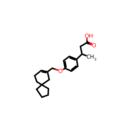 CC(CC(=O)O)c1ccc(OCC2=CCCC3(CCCC3)C2)cc1